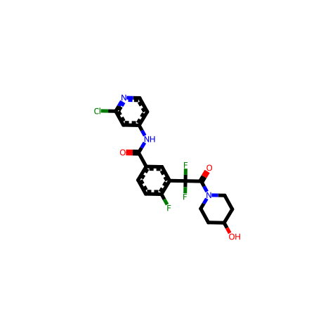 O=C(Nc1ccnc(Cl)c1)c1ccc(F)c(C(F)(F)C(=O)N2CCC(O)CC2)c1